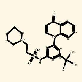 O=c1ccn(-c2cc(NS(=O)(=O)CCN3CCCCC3)cc(C(F)(F)F)c2)c2ccccc12